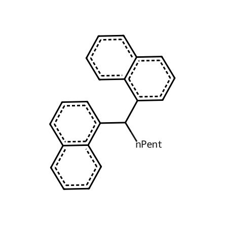 CCCCCC(c1cccc2ccccc12)c1cccc2ccccc12